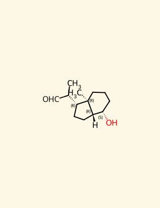 CC(C=O)[C@H]1CC[C@H]2[C@@H](O)CCC[C@]12C